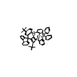 CC(C)(C)c1ccc2c(c1)C1(c3ccccc3-c3ccccc31)c1cc(C(C)(C)C)cc3c1B2c1cccc2c1N3c1ccccc1[Si]2(c1ccccc1)c1ccccc1